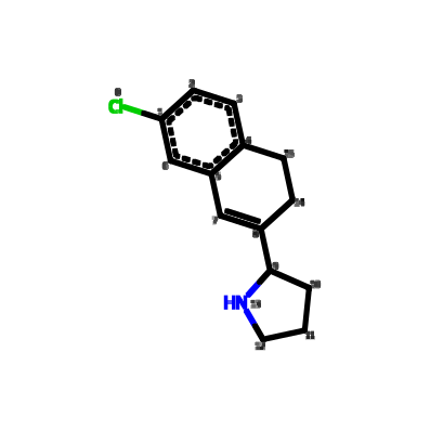 Clc1ccc2c(c1)C=C(C1CCCN1)CC2